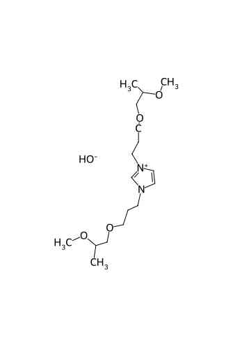 COC(C)COCCCn1cc[n+](CCCOCC(C)OC)c1.[OH-]